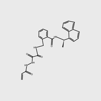 C=CC(=O)NNC(=O)C(=O)NCc1ccccc1C(=O)N[C@H](C)c1cccc2ccccc12